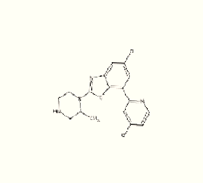 CC1CNCCN1c1nc2cc(Cl)cc(-c3cc(Cl)ccn3)c2o1